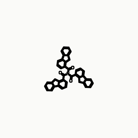 O=C(c1cccc2c1Cc1ccccc1-2)N(C(=O)c1cccc2c1Cc1ccccc1-2)C(=O)c1cccc2c1Cc1ccccc1-2